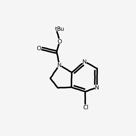 CC(C)(C)OC(=O)N1CCc2c(Cl)ncnc21